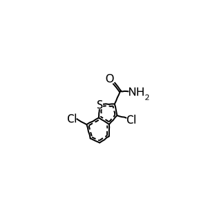 NC(=O)c1sc2c(Cl)cccc2c1Cl